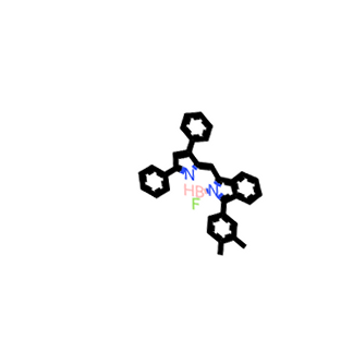 Cc1ccc(-c2c3ccccc3c(/C=C3\N=C(c4ccccc4)C=C3c3ccccc3)n2BF)cc1C